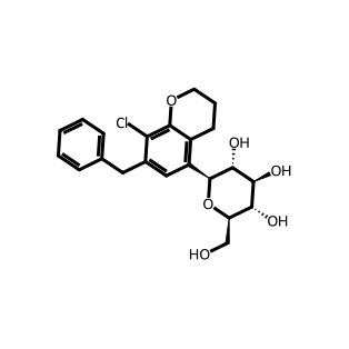 OC[C@H]1O[C@@H](c2cc(Cc3ccccc3)c(Cl)c3c2CCCO3)[C@H](O)[C@@H](O)[C@@H]1O